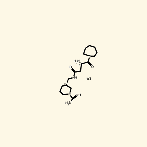 Cl.N=C(N)N1CCC[C@@H](CNC(=O)C[C@H](N)C(=O)N2CCCCCC2)C1